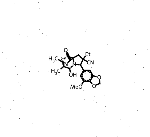 CCC1(C#N)CC23SSC(C)(C(O)N2C1c1cc(OC)c2c(c1)OCO2)N(C)C3=O